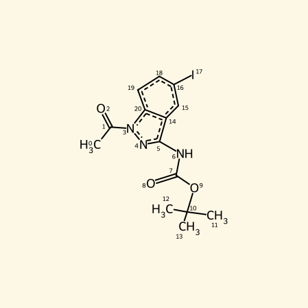 CC(=O)n1nc(NC(=O)OC(C)(C)C)c2cc(I)ccc21